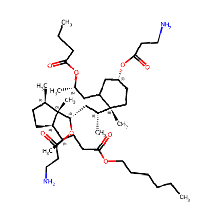 CCCCCCOC(=O)CC[C@@H](C)[C@H]1CC[C@@H](C)[C@]1(C)[C@H](C[C@@H](C)[C@@]1(C)CC[C@@H](OC(=O)CCN)CC1C[C@H](C)OC(=O)CCC)OC(=O)CCN